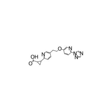 O=C(O)C1CC1c1ccc(CCOc2ccc(-n3cncn3)nc2)cn1